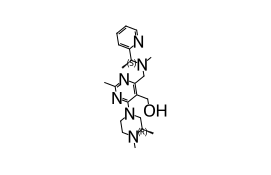 Cc1nc(CN(C)[C@@H](C)c2ccccn2)c(CO)c(N2CCN(C)[C@H](C)C2)n1